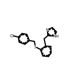 Clc1ccc(CSc2ccccc2Cc2ncc[nH]2)cc1